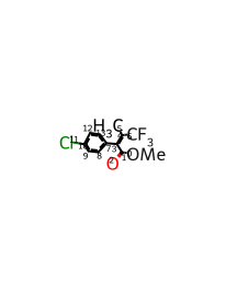 COC(=O)C(=C(C)C(F)(F)F)c1ccc(Cl)cc1